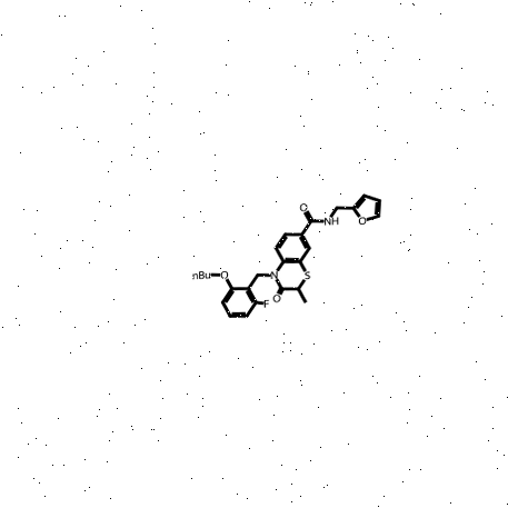 CCCCOc1cccc(F)c1CN1C(=O)C(C)Sc2cc(C(=O)NCc3ccco3)ccc21